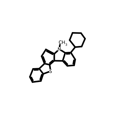 Cn1c2ccc3c4ccccc4sc3c2c2cccc(C3CCCCC3)c21